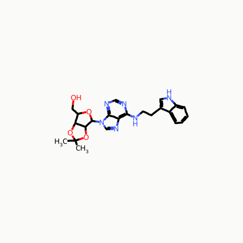 CC1(C)OC2C(CO)OC(n3cnc4c(NCCc5c[nH]c6ccccc56)ncnc43)C2O1